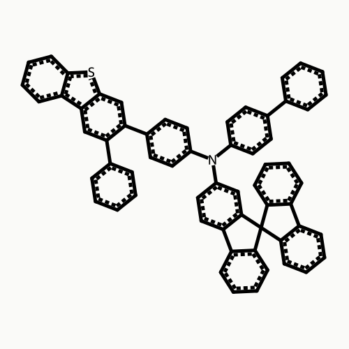 c1ccc(-c2ccc(N(c3ccc(-c4cc5sc6ccccc6c5cc4-c4ccccc4)cc3)c3ccc4c(c3)C3(c5ccccc5-c5ccccc53)c3ccccc3-4)cc2)cc1